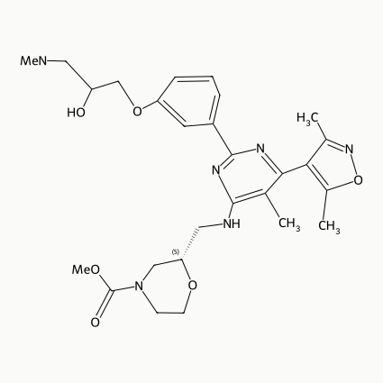 CNCC(O)COc1cccc(-c2nc(NC[C@H]3CN(C(=O)OC)CCO3)c(C)c(-c3c(C)noc3C)n2)c1